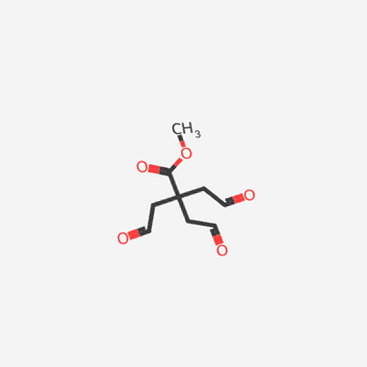 COC(=O)C(CC=O)(CC=O)CC=O